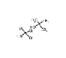 CC(C)(O)C(=O)O.CCC(N)(CC)CC